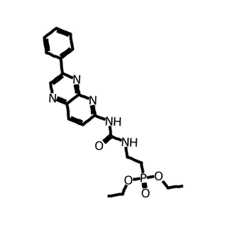 CCOP(=O)(CCNC(=O)Nc1ccc2ncc(-c3ccccc3)nc2n1)OCC